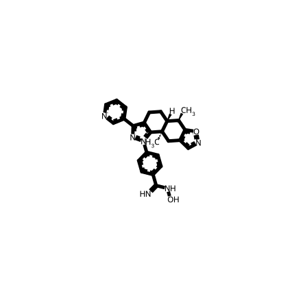 C[C@H]1c2oncc2C[C@@]2(C)c3c(c(-c4cccnc4)nn3-c3ccc(C(=N)NO)cc3)CC[C@H]12